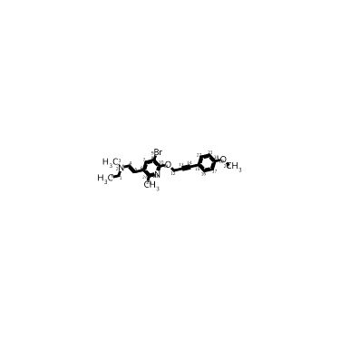 CCN(C)/C=C/c1cc(Br)c(OCC#Cc2ccc(OC)cc2)nc1C